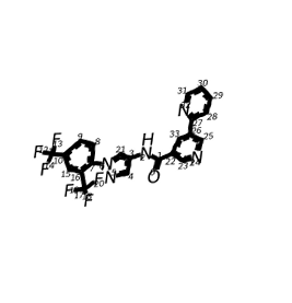 O=C(Nc1cnn(-c2ccc(C(F)(F)F)cc2C(F)(F)F)c1)c1cncc(-c2ccccn2)c1